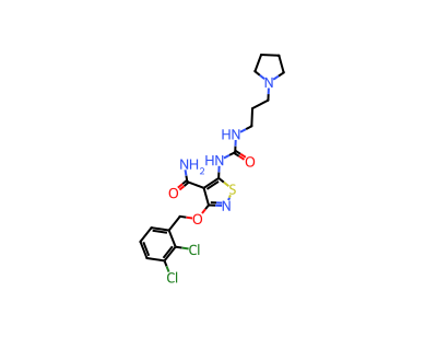 NC(=O)c1c(OCc2cccc(Cl)c2Cl)nsc1NC(=O)NCCCN1CCCC1